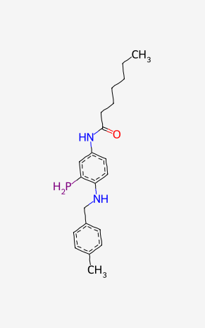 CCCCCCC(=O)Nc1ccc(NCc2ccc(C)cc2)c(P)c1